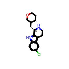 Clc1ccc2[nH]c3c(c2c1)CCN[C@H]3CC1CCCOC1